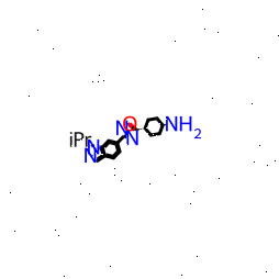 CC(C)n1ncc2ccc(-c3noc([C@H]4CC[C@@H](N)CC4)n3)cc21